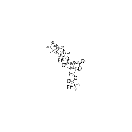 CCC(C)(C)C(=O)OC1C2CC3C1OC(=O)C3C2C(=O)OC1(CC)CC2CC1C1C3CCC(C3)C21